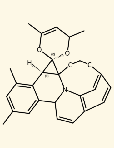 CC1=CC(C)O[C@@]2(O1)[C@@H]1c3c(C)cc(C)cc3C3C=Cc4ccc5cc4N3C12CCC5